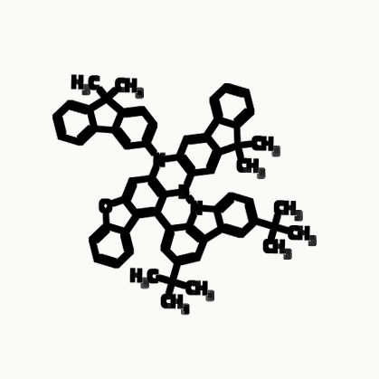 CC(C)(C)c1ccc2c(c1)c1cc(C(C)(C)C)cc3c1n2B1c2cc4c(cc2N(c2ccc5c(c2)-c2ccccc2C5(C)C)c2cc5oc6ccccc6c5c-3c21)-c1ccccc1C4(C)C